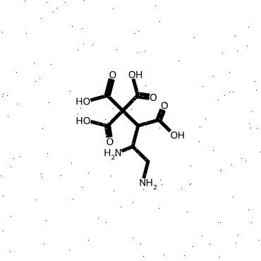 NCC(N)C(C(=O)O)C(C(=O)O)(C(=O)O)C(=O)O